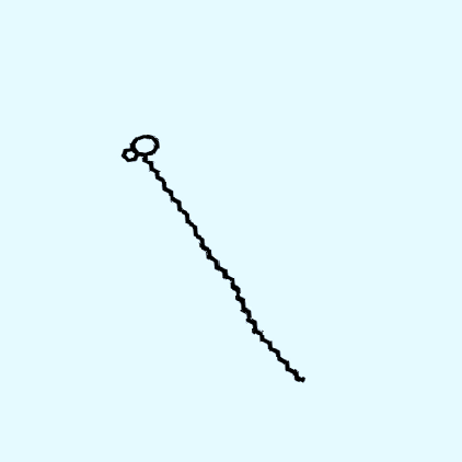 C=CCCCCCCCCCCCCCCCCCCCCCCCCCCCCCCCCCCCCCCCCCCC1CCCCCCCC2CCCCC12